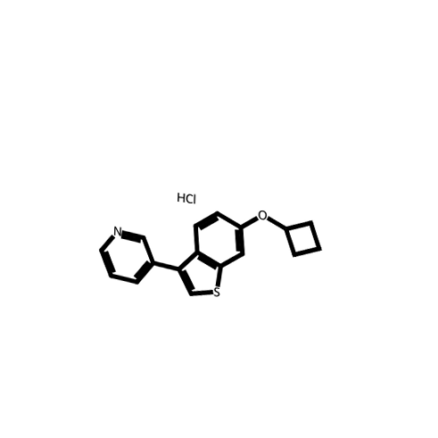 Cl.c1cncc(-c2csc3cc(OC4CCC4)ccc23)c1